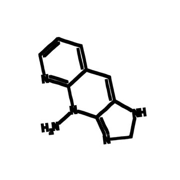 NN1C2=NCNC2=Cc2cccnc21